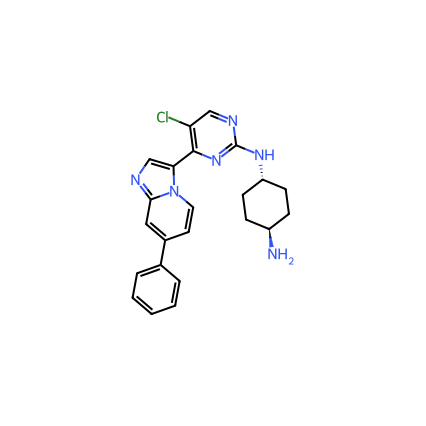 N[C@H]1CC[C@H](Nc2ncc(Cl)c(-c3cnc4cc(-c5ccccc5)ccn34)n2)CC1